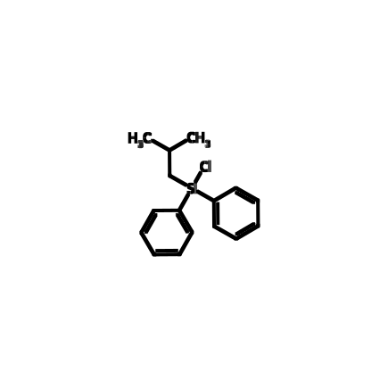 CC(C)C[Si](Cl)(c1ccccc1)c1ccccc1